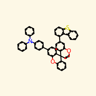 c1ccc(N(c2ccccc2)c2ccc(-c3ccc4c(c3)Oc3ccccc3C43c4ccccc4Oc4cc(-c5cccc6sc7ccccc7c56)ccc43)cc2)cc1